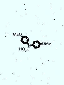 COc1ccc(N(C(=O)O)c2ccc(OC)cc2)cc1